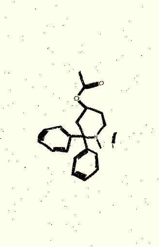 CC(=O)OC1CCN(C)C(c2ccccc2)(c2ccccc2)C1.CI